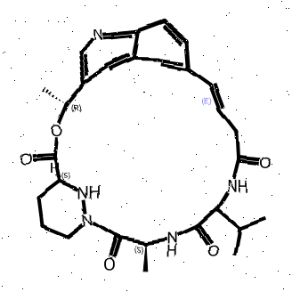 CC(C)C1NC(=O)C/C=C/c2ccc3ncc(cc3c2)[C@@H](C)OC(=O)[C@@H]2CCCN(N2)C(=O)[C@H](C)NC1=O